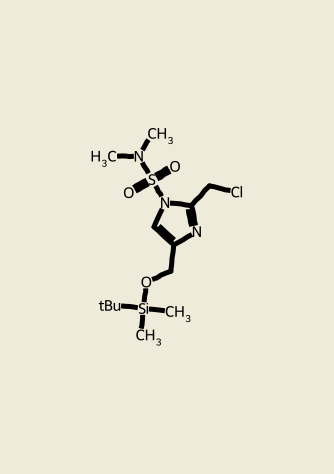 CN(C)S(=O)(=O)n1cc(CO[Si](C)(C)C(C)(C)C)nc1CCl